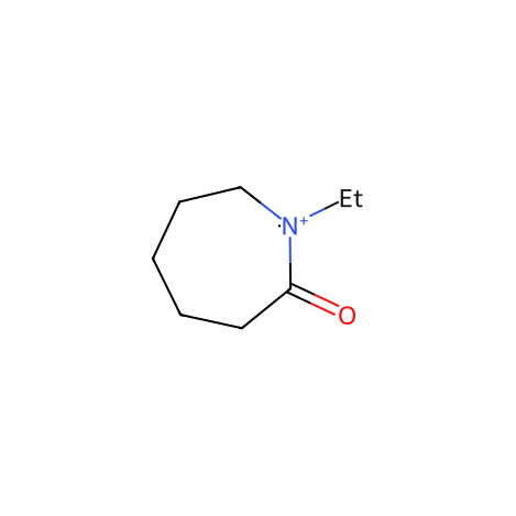 CC[N+]1CCCCCC1=O